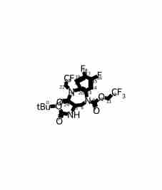 CC(C)(C)OC(=O)NC1CN(C(=O)OCC(F)(F)F)c2cc(F)c(F)cc2N(CC(F)(F)F)C1=O